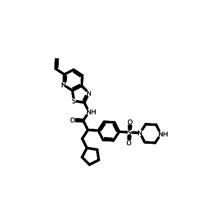 C=Cc1ccc2nc(NC(=O)C(CC3CCCC3)c3ccc(S(=O)(=O)N4CCNCC4)cc3)sc2n1